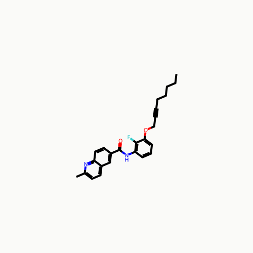 CCCCCC#CCOc1cccc(NC(=O)c2ccc3nc(C)ccc3c2)c1F